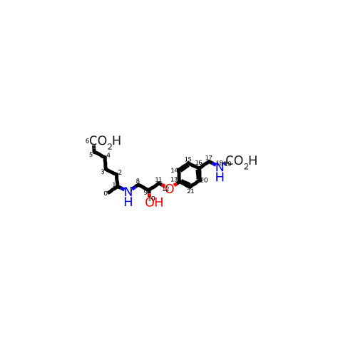 CC(CCCCC(=O)O)NCC(O)COc1ccc(CNC(=O)O)cc1